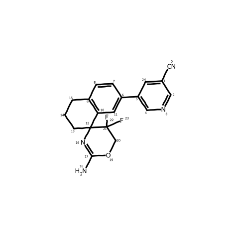 N#Cc1cncc(-c2ccc3c(c2)C2(CCC3)N=C(N)OCC2(F)F)c1